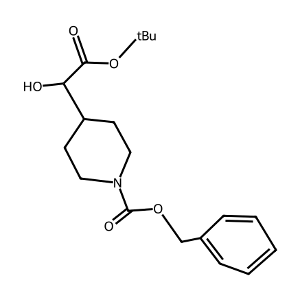 CC(C)(C)OC(=O)C(O)C1CCN(C(=O)OCc2ccccc2)CC1